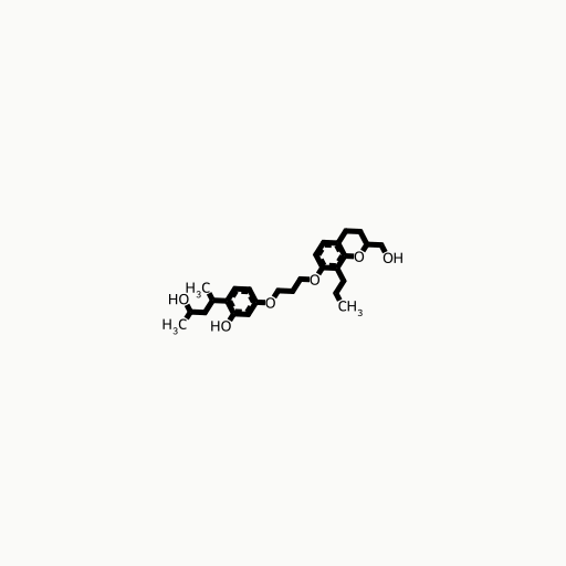 CCCc1c(OCCCOc2ccc(C(C)CC(C)O)c(O)c2)ccc2c1OC(CO)CC2